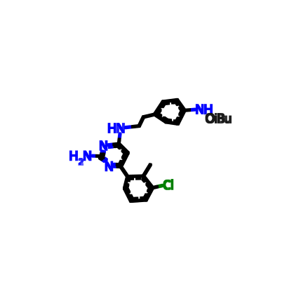 Cc1c(Cl)cccc1-c1cc(NCCc2ccc(NOCC(C)C)cc2)nc(N)n1